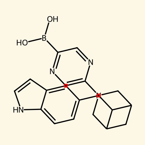 OB(O)c1cnc(N2CC3CC(C2)C3Cc2ccc3[nH]ccc3c2)cn1